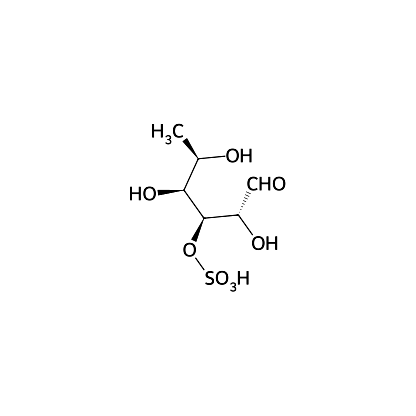 C[C@@H](O)[C@H](O)[C@H](OS(=O)(=O)O)[C@@H](O)C=O